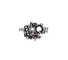 CC[C@H]1OC(=O)[C@H](C)[C@@H](O[C@H]2C[C@@](C)(OC)[C@@H](O)[C@H](C)O2)[C@H](C)[C@@H](O[C@@H]2O[C@H](C)C[C@H](N(C)C)[C@H]2O)[C@](C)(O)C[C@@H](C)C(=O)[C@H](C)[C@@H](O)[C@]1(C)O.CN(C)[C@@H]1C(O)=C(C(N)=O)C(=O)[C@@]2(O)C(O)=C3C(=O)c4c(O)cccc4[C@@](C)(O)[C@H]3C[C@@H]12